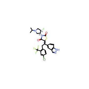 CC(C)N1C[C@@H](N2C(=O)S/C(=C(/Cc3ccc(Cl)cc3C(F)(F)F)c3ccc4[nH]ncc4c3)C2=O)[C@@H](F)C1